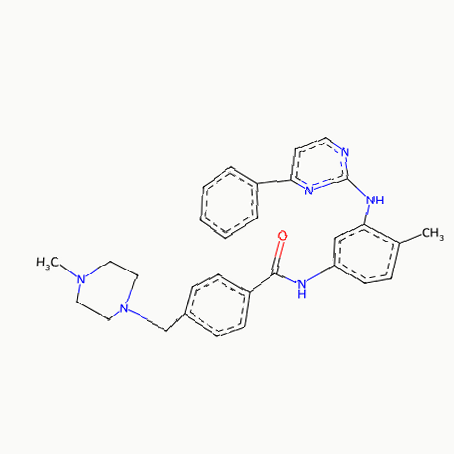 Cc1ccc(NC(=O)c2ccc(CN3CCN(C)CC3)cc2)cc1Nc1nccc(-c2ccccc2)n1